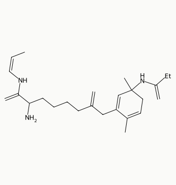 C=C(CCCCC(N)C(=C)N/C=C\C)CC1=CC(C)(NC(=C)CC)CC=C1C